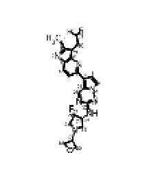 CC1=Nc2ccc(-c3ccn4nc(N[C@H]5CN(C6COC6)C[C@H]5F)ncc34)nc2C1CC(F)F